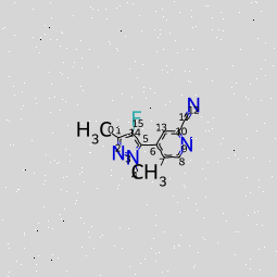 Cc1nn(C)c(-c2ccnc(C#N)c2)c1F